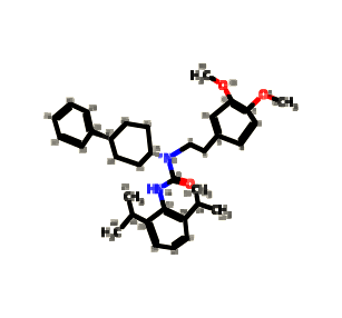 COc1ccc(CCN(C(=O)Nc2c(C(C)C)cccc2C(C)C)[C@H]2CC[C@H](c3ccccc3)CC2)cc1OC